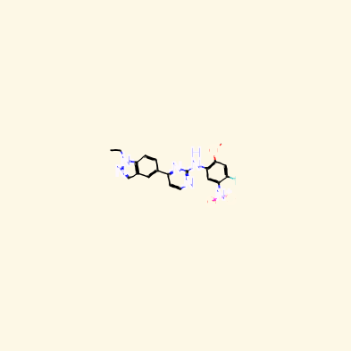 CCn1ncc2cc(-c3ccnc(Nc4cc([N+](=O)[O-])c(F)cc4OC)n3)ccc21